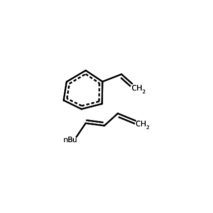 C=CC=CCCCC.C=Cc1ccccc1